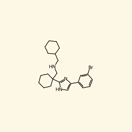 Brc1cccc(-c2c[nH]c(C3(CNCC4CCCCC4)CCCCC3)n2)c1